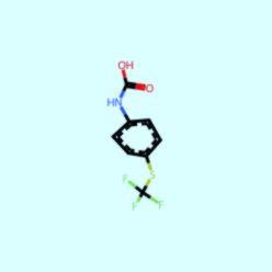 O=C(O)Nc1ccc(SC(F)(F)F)cc1